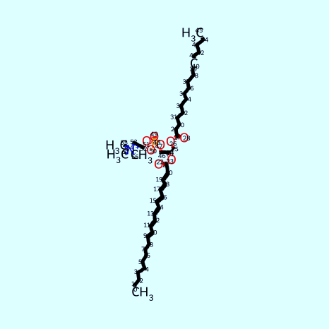 CCCCCCCCCC=CC=CC=CC=CC=CC=CC(=O)O[C@H](COC(=O)CCCCCCCCCCCCCCCCC)COP(=O)([O-])OCC[N+](C)(C)C